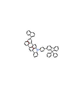 c1ccc(-c2ccc(-c3ccccc3N(c3ccc(-c4cccc(-c5cccc6ccccc56)c4)cc3)c3ccc(-c4ccc5c(c4)C(c4ccccc4)(c4ccccc4)c4ccccc4-5)cc3)cc2)cc1